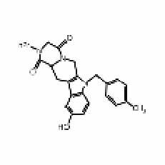 CCCN1CC(=O)N2Cc3c(c4cc(O)ccc4n3Cc3ccc(C)cc3)CC2C1=O